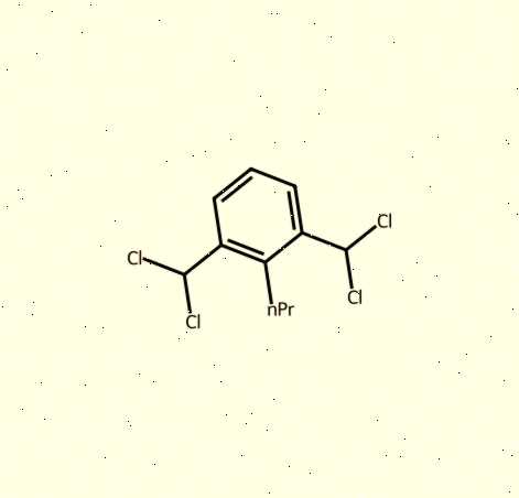 C[CH]Cc1c(C(Cl)Cl)cccc1C(Cl)Cl